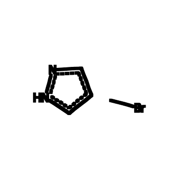 CBr.c1cn[nH]c1